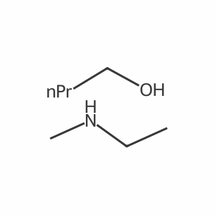 CCCCO.CCNC